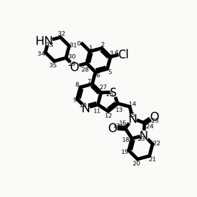 Cc1cc(Cl)cc(-c2ccnc3cc(CN4C(=O)C5=CCCCN5C4=O)sc23)c1OC1CCNCC1